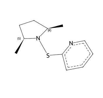 C[C@@H]1CC[C@H](C)N1Sc1ccccn1